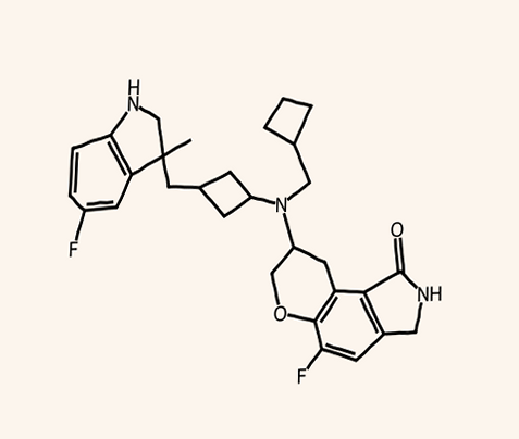 CC1(CC2CC(N(CC3CCC3)C3COc4c(F)cc5c(c4C3)C(=O)NC5)C2)CNc2ccc(F)cc21